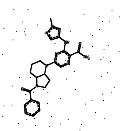 Cn1cc(Nc2nc(N3CCCC4C3CCN4C(=O)c3ccccc3)cnc2C(N)=O)cn1